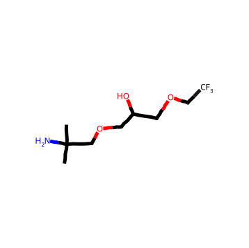 CC(C)(N)COCC(O)COCC(F)(F)F